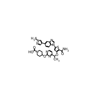 CC(Oc1cc(-n2cnc3cc(-c4cnn(C)c4)ccc32)sc1C(N)=O)c1ccnc(OC2CCN(C(=O)O)CC2)n1